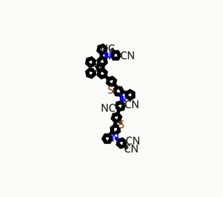 N#Cc1ccc(-n2c3ccccc3c3cc4c(cc32)-c2cc(-c3ccc5c(c3)sc3cc6c(cc35)c3ccccc3n6-c3cc(C#N)c(-c5ccc6c(c5)sc5cc7c(cc56)c5ccccc5n7-c5ccc(C#N)c(C#N)c5)cc3C#N)ccc2[Si]4(c2ccccc2)c2ccccc2)c(C#N)c1